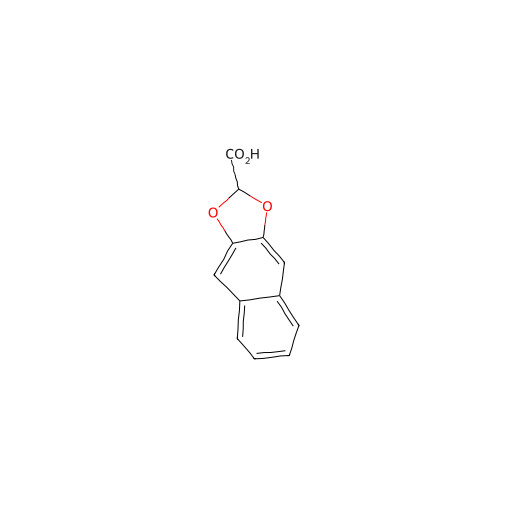 O=C(O)C1Oc2cc3ccccc3cc2O1